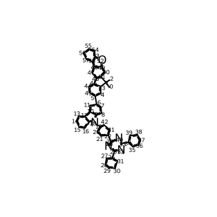 CC1(C)c2cc(-c3ccc4c(c3)c3ccccc3n4-c3ccc(-c4nc(-c5ccccc5)nc(-c5ccccc5)n4)cc3)ccc2-c2cc3c(cc21)oc1ccccc13